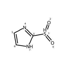 O=[SH](=O)c1ncc[nH]1